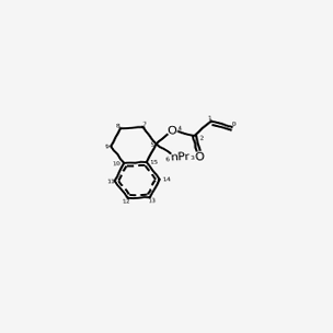 C=CC(=O)OC1(CCC)CCCc2ccccc21